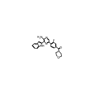 Nc1ncc(-c2ccc(C(=O)N3CCOCC3)cc2F)nc1-c1cc2ccccc2[nH]1